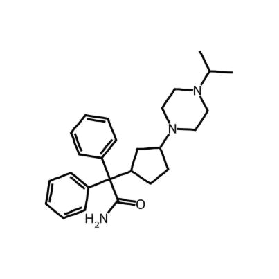 CC(C)N1CCN(C2CCC(C(C(N)=O)(c3ccccc3)c3ccccc3)C2)CC1